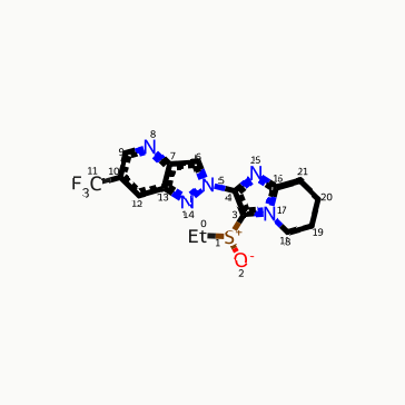 CC[S+]([O-])c1c(-n2cc3ncc(C(F)(F)F)cc3n2)nc2n1CCCC2